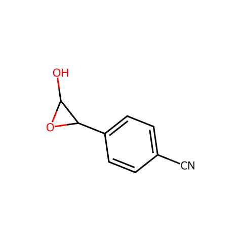 N#Cc1ccc(C2OC2O)cc1